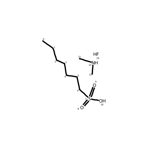 CCCCCCCS(=O)(=O)O.CNC.F